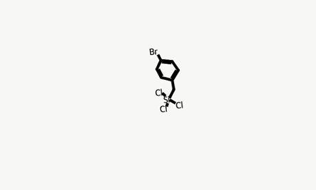 Cl[Si](Cl)(Cl)Cc1ccc(Br)cc1